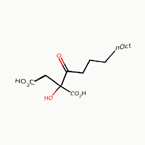 CCCCCCCCCCCC(=O)C(O)(CC(=O)O)C(=O)O